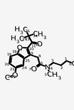 CCCCN(C)C(=O)Cc1c(C(=O)C(C)(C)C)oc2ccc(OC)cc12